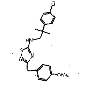 COc1ccc(Cc2nsc(NCC(C)(C)c3ccc(Cl)cc3)n2)cc1